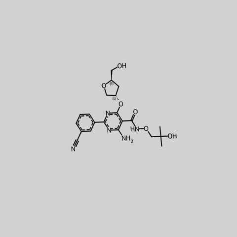 CC(C)(O)CONC(=O)c1c(N)nc(-c2cccc(C#N)c2)nc1O[C@@H]1CO[C@@H](CO)C1